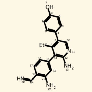 CCc1c(-c2ccc(O)cc2)cnc(N)c1-c1ccc(C=N)c(N)c1